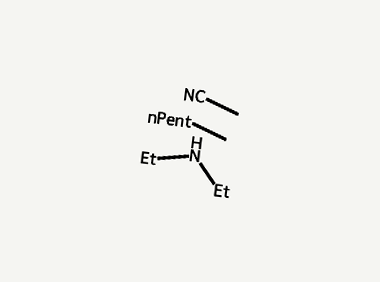 CC#N.CCCCCC.CCNCC